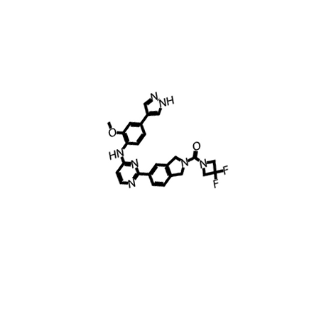 COc1cc(-c2cn[nH]c2)ccc1Nc1ccnc(-c2ccc3c(c2)CN(C(=O)N2CC(F)(F)C2)C3)n1